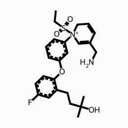 CCS(=O)(=O)[N+]1(c2cccc(Oc3ccc(F)cc3CCC(C)(C)O)c2)C=C(CN)C=CC1